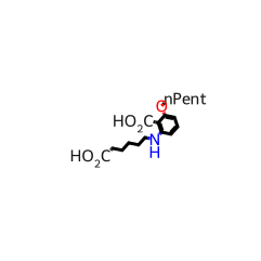 CCCCCOc1cccc(NCCCCCC(=O)O)c1C(=O)O